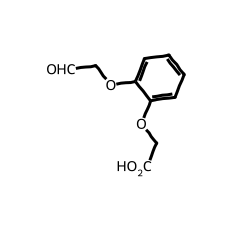 O=CCOc1ccccc1OCC(=O)O